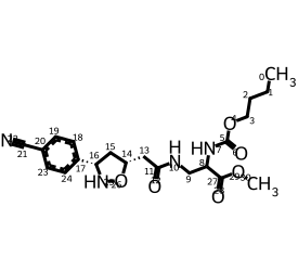 CCCCOC(=O)NC(CNC(=O)C[C@H]1C[C@@H](c2ccc(C#N)cc2)NO1)C(=O)OC